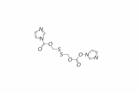 O=C(OCSSCOC(=O)n1ccnc1)On1ccnc1